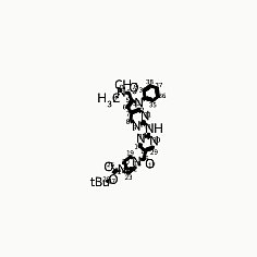 CN(C)C(=O)c1cc2cnc(Nc3ncc(C(=O)N4CC5CC4CN5C(=O)OC(C)(C)C)cn3)nc2n1-c1ccccc1